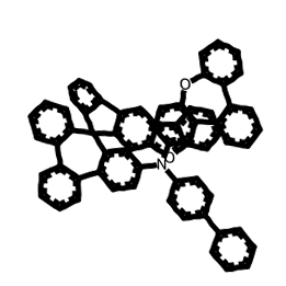 c1ccc(-c2ccc(N(c3ccc4c(c3)-c3ccccc3-c3ccccc3O4)c3ccc4c(c3)C3(c5ccccc5-c5ccccc5-4)c4ccccc4-c4cc5c(cc43)oc3ccccc35)cc2)cc1